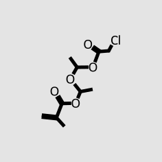 C=C(C)C(=O)OC(C)OC(C)OC(=O)CCl